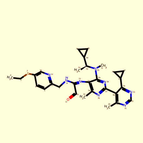 CCSc1ccc(CN/C(C=O)=N/c2c(C)nc(-c3c(C)ncnc3C3CC3)nc2N(C)[C@@H](C)C2CC2)nc1